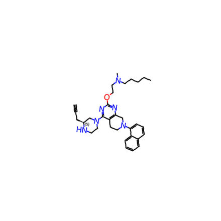 C#CC[C@H]1CN(c2nc(OCCN(C)CCCCC)nc3c2CCN(c2cccc4ccccc24)C3)CCN1